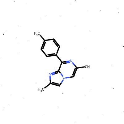 Cc1cn2cc(C#N)nc(-c3ccc(C(F)(F)F)cc3)c2n1